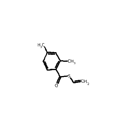 C=CSC(=O)c1ccc(C)cc1C